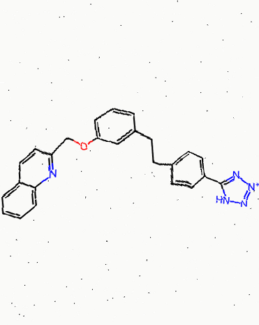 c1cc(CCc2ccc(C3=N[N+]=NN3)cc2)cc(OCc2ccc3ccccc3n2)c1